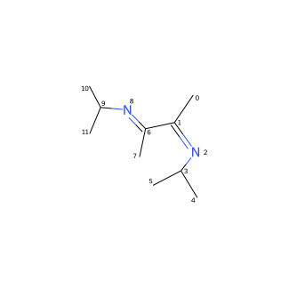 CC(=NC(C)C)C(C)=NC(C)C